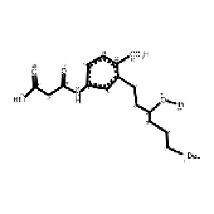 CCCCCCCCCCCCCC(CCc1cc(NC(=O)CC(=O)C(C)(C)C)ccc1C(=O)O)OC(C)C